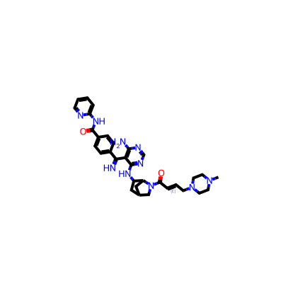 CN1CCN(C/C=C/C(=O)N2CC3CC(Nc4ncnc(N)c4C(=N)c4ccc(C(=O)Nc5ccccn5)cc4)C2C3)CC1